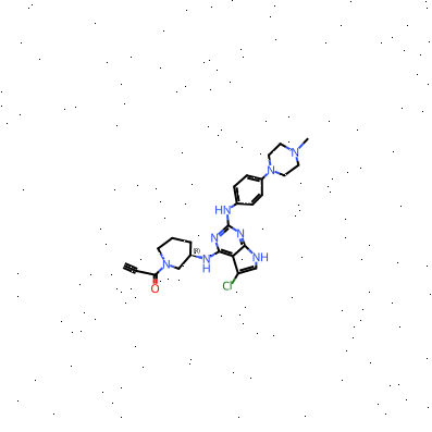 C#CC(=O)N1CCC[C@@H](Nc2nc(Nc3ccc(N4CCN(C)CC4)cc3)nc3[nH]cc(Cl)c23)C1